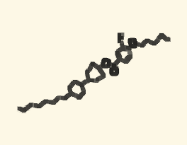 CCCCCCCCC1CCC(C2CCC(OC(=O)c3ccc(OCCCCC)c(F)c3)CC2)CC1